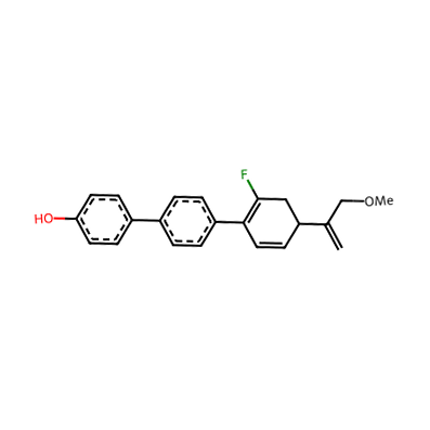 C=C(COC)C1C=CC(c2ccc(-c3ccc(O)cc3)cc2)=C(F)C1